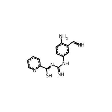 N=Cc1cc(NC(=N)/N=C(\S)c2ccccn2)ccc1N